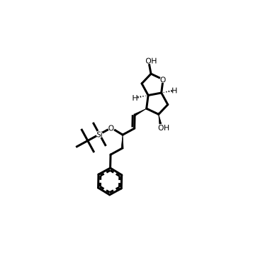 CC(C)(C)[Si](C)(C)O[C@@H](/C=C/[C@H]1[C@H]2CC(O)O[C@H]2C[C@H]1O)CCc1ccccc1